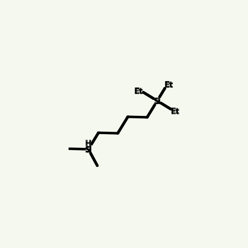 CC[Si](CC)(CC)CCCC[SiH](C)C